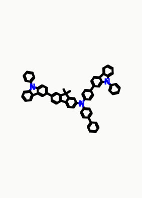 CC1(C)c2cc(-c3ccc4c(c3)c3ccccc3n4-c3ccccc3)ccc2-c2ccc(N(c3ccc(-c4ccccc4)cc3)c3ccc(-c4ccc5c6ccccc6n(-c6ccccc6)c5c4)cc3)cc21